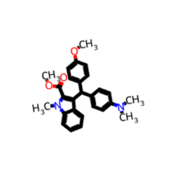 COC(=O)c1c(C(c2ccc(OC)cc2)c2ccc(N(C)C)cc2)c2ccccc2n1C